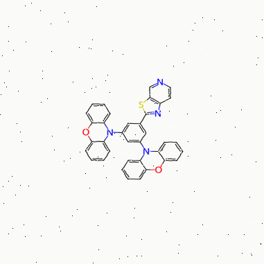 c1ccc2c(c1)Oc1ccccc1N2c1cc(-c2nc3ccncc3s2)cc(N2c3ccccc3Oc3ccccc32)c1